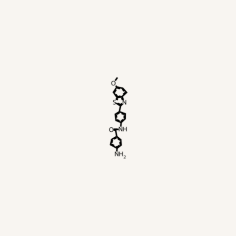 COc1ccc2nc(-c3ccc(NC(=O)c4ccc(N)cc4)cc3)sc2c1